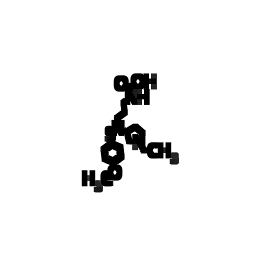 CCN1CC[C@H](N(CCCNC(=O)O)Sc2ccc(OC)cc2)C1